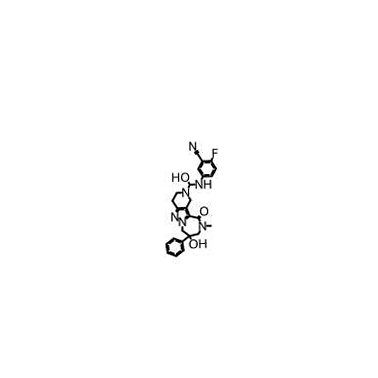 CN1CC(O)(c2ccccc2)Cn2nc3c(c2C1=O)CN(C(O)Nc1ccc(F)c(C#N)c1)CC3